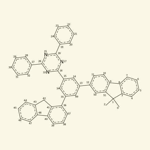 CC1(C)c2ccccc2-c2ccc(-c3cc(-c4nc(-c5ccccc5)nc(-c5ccccc5)n4)cc(-c4cccc5c4Cc4ccccc4-5)c3)cc21